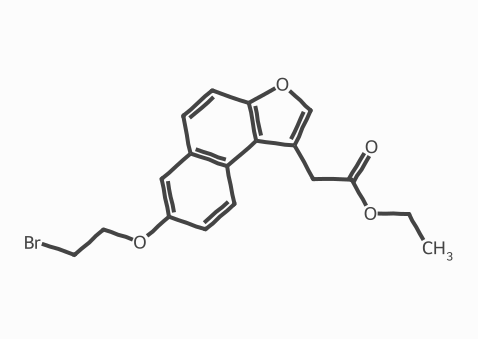 CCOC(=O)Cc1coc2ccc3cc(OCCBr)ccc3c12